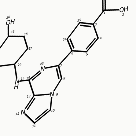 O=C(O)c1ccc(-c2cn3ccnc3c(NC3CCC(O)CC3)n2)cc1